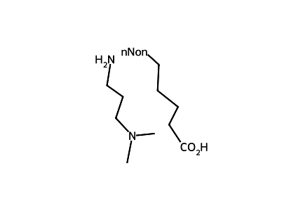 CCCCCCCCCCCCCC(=O)O.CN(C)CCCN